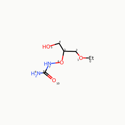 CCOCC(CO)ONC(N)=O